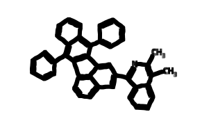 Cc1nc(-c2cc3c4c(cccc4c2)-c2c-3c(-c3ccccc3)c3ccccc3c2-c2ccccc2)c2ccccc2c1C